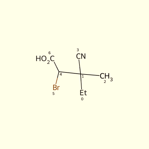 CCC(C)(C#N)C(Br)C(=O)O